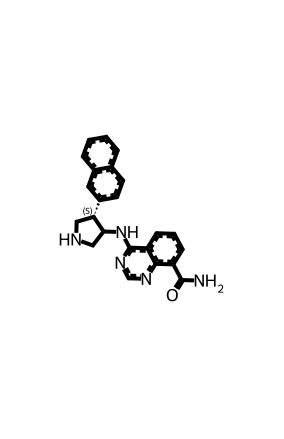 NC(=O)c1cccc2c(NC3CNC[C@@H]3c3ccc4ccccc4c3)ncnc12